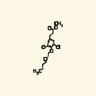 CCCCOCCOc1c(Cl)cc(CCC(=O)OC)cc1Cl